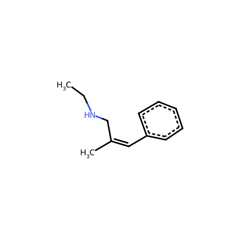 CCNCC(C)=Cc1ccccc1